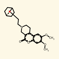 COc1cc2oc(=O)c3c(c2cc1OC)CCN(CCN1CC2CCC(CC2)C1)C3